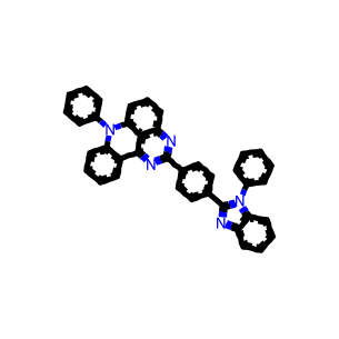 c1ccc(N2c3ccccc3-c3nc(-c4ccc(-c5nc6ccccc6n5-c5ccccc5)cc4)nc4cccc2c34)cc1